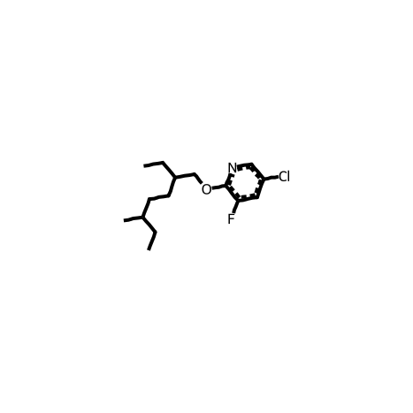 CCC(C)CCC(CC)COc1ncc(Cl)cc1F